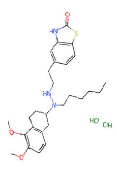 CCCCCCN(NCCc1ccc2sc(=O)[nH]c2c1)C1CCc2c(ccc(OC)c2OC)C1.Cl.Cl